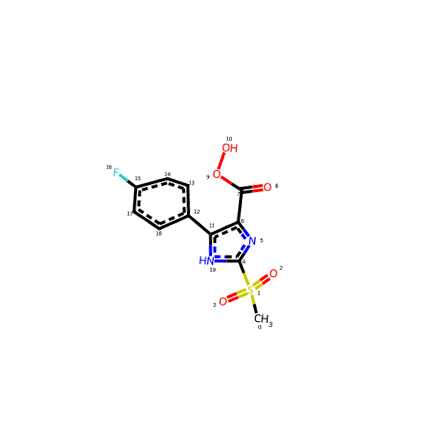 CS(=O)(=O)c1nc(C(=O)OO)c(-c2ccc(F)cc2)[nH]1